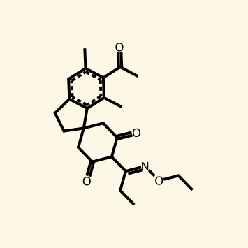 CCON=C(CC)C1C(=O)CC2(CCc3cc(C)c(C(C)=O)c(C)c32)CC1=O